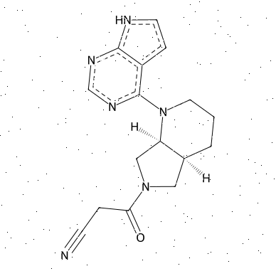 N#CCC(=O)N1C[C@@H]2CCCN(c3ncnc4[nH]ccc34)[C@@H]2C1